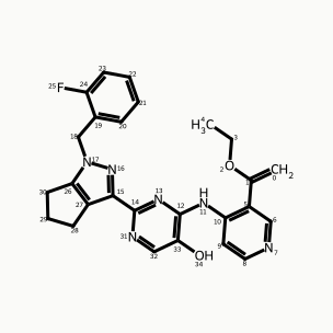 C=C(OCC)c1cnccc1Nc1nc(-c2nn(Cc3ccccc3F)c3c2CCC3)ncc1O